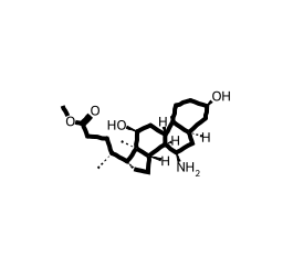 COC(=O)CC[C@@H](C)[C@H]1CC[C@H]2[C@@H]3[C@H](N)C[C@@H]4C[C@H](O)CC[C@]4(C)[C@H]3C[C@H](O)[C@]12C